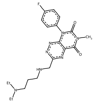 CCN(CC)CCCNCc1nnc2c(n1)c(=O)n(C)c(=O)n2-c1ccc(F)cc1